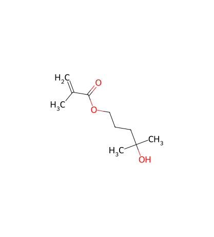 C=C(C)C(=O)OCCCC(C)(C)O